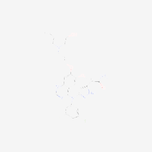 CCCN(CCO)CCCOc1cc2ncnc(N(c3cc(F)cc(F)c3)c3cc(CC(N)=O)[nH]n3)c2cc1OC